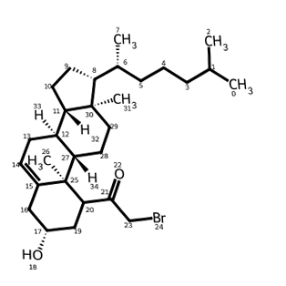 CC(C)CCC[C@@H](C)[C@H]1CC[C@H]2[C@@H]3CC=C4C[C@@H](O)CC(C(=O)CBr)[C@]4(C)[C@H]3CC[C@]12C